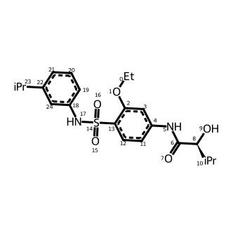 CCOc1cc(NC(=O)[C@@H](O)C(C)C)ccc1S(=O)(=O)Nc1cccc(C(C)C)c1